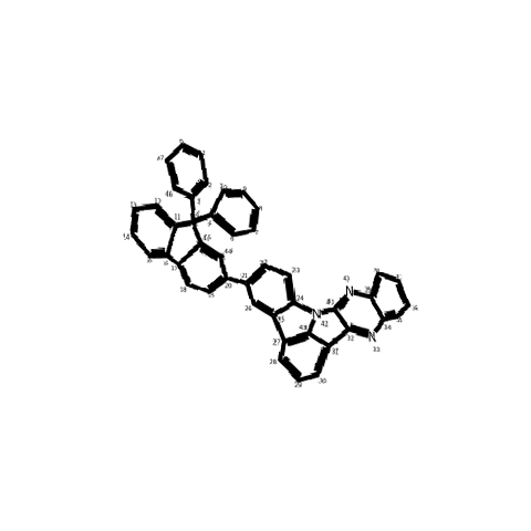 c1ccc(C2(c3ccccc3)c3ccccc3-c3ccc(-c4ccc5c(c4)c4cccc6c7nc8ccccc8nc7n5c46)cc32)cc1